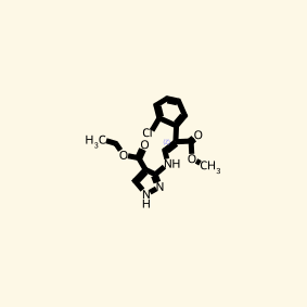 CCOC(=O)c1c[nH]nc1N/C=C(\C(=O)OC)c1ccccc1Cl